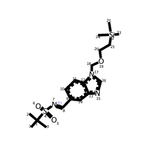 CC(C)(C)S(=O)(=O)/N=C/c1ccc2c(c1)ncn2COCC[Si](C)(C)C